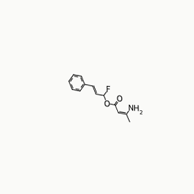 CC(N)=CC(=O)OC(F)C=Cc1ccccc1